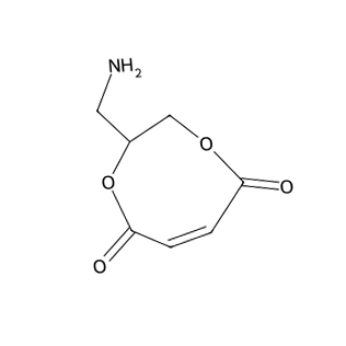 NCC1COC(=O)C=CC(=O)O1